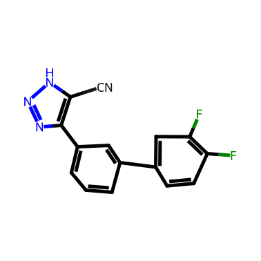 N#Cc1[nH]nnc1-c1cccc(-c2ccc(F)c(F)c2)c1